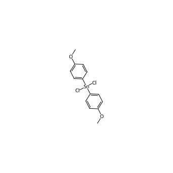 COc1cc[c]([Sn]([Cl])([Cl])[c]2ccc(OC)cc2)cc1